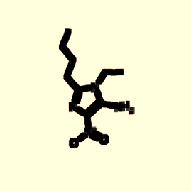 CCCCc1nc([N+](=O)[O-])c(N)n1CC